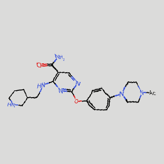 CC(=O)N1CCN(c2ccc(Oc3ncc(C(N)=O)c(NCC4CCCNC4)n3)cc2)CC1